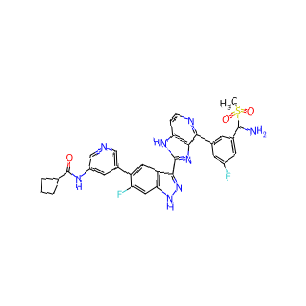 CS(=O)(=O)C(N)c1cc(F)cc(-c2nccc3[nH]c(-c4n[nH]c5cc(F)c(-c6cncc(NC(=O)C7CCC7)c6)cc45)nc23)c1